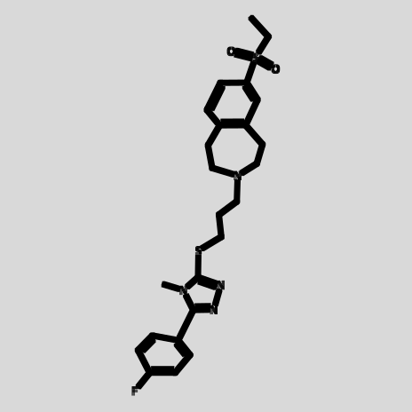 CCS(=O)(=O)c1ccc2c(c1)CCN(CCCSc1nnc(-c3ccc(F)cc3)n1C)CC2